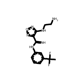 CC(F)(F)c1cccc(NC(=N)c2nonc2NCCN)c1